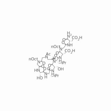 C#CCN(CC(=O)N(CCCCCCCC)CC(=O)N[C@@H](CO)C(=O)N[C@@H](CC(C)C)C(=O)N[C@@H](CO)C(=O)N[C@@H](CC(C)C)C(=O)N[C@@H](CC(=O)O)C(=O)N(CCCCCCCC)CC(=O)N[C@@H](CC(=O)O)C(N)=O)C(C)=O